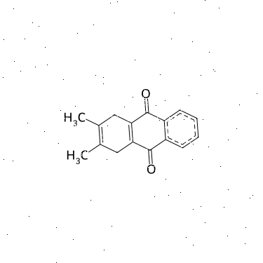 CC1=C(C)CC2=C(C1)C(=O)c1ccccc1C2=O